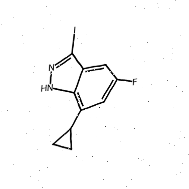 Fc1cc(C2CC2)c2[nH]nc(I)c2c1